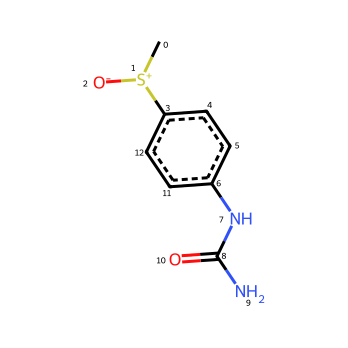 C[S+]([O-])c1ccc(NC(N)=O)cc1